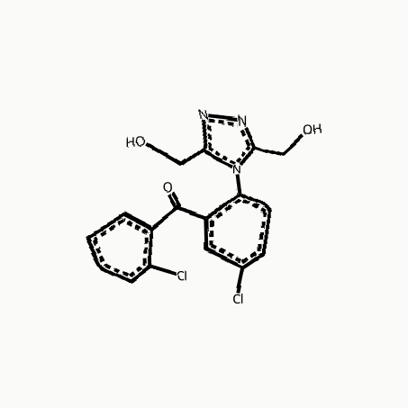 O=C(c1ccccc1Cl)c1cc(Cl)ccc1-n1c(CO)nnc1CO